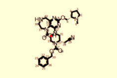 CN1CCC[C@H]1COc1nc2c(c(N3CCN(C(=O)OCc4ccccc4)[C@@H](CC#N)C3)n1)N(C(=O)O)CCNC2